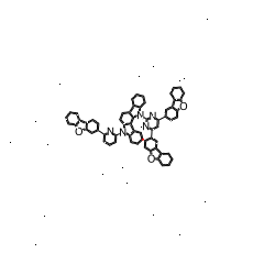 c1cc(-c2ccc3c(c2)oc2ccccc23)nc(-n2c3ccccc3c3c2ccc2c4ccccc4n(-c4nc(-c5ccc6oc7ccccc7c6c5)cc(-c5ccc6oc7ccccc7c6c5)n4)c23)c1